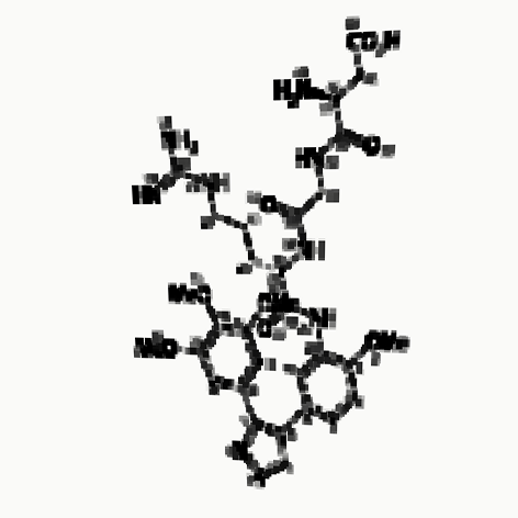 COc1ccc(-c2csnc2-c2cc(OC)c(OC)c(OC)c2)cc1NC(=O)[C@H](CCCNC(=N)N)NC(=O)CNC(=O)[C@@H](N)CC(=O)O